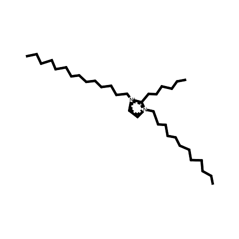 CCCCCCCCCCCCCC[n+]1ccn(CCCCCCCCCCCC)c1CCCCCC